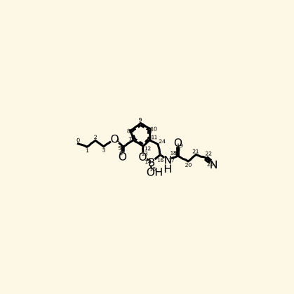 CCCCOC(=O)c1cccc2c1OB(O)C(NC(=O)CCC#N)C2